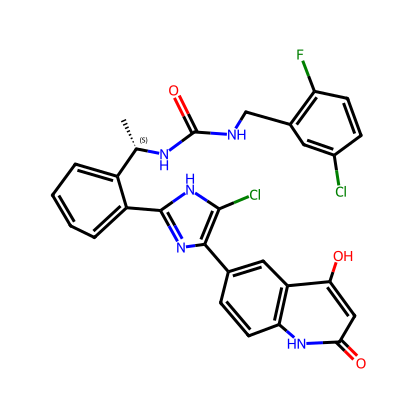 C[C@H](NC(=O)NCc1cc(Cl)ccc1F)c1ccccc1-c1nc(-c2ccc3[nH]c(=O)cc(O)c3c2)c(Cl)[nH]1